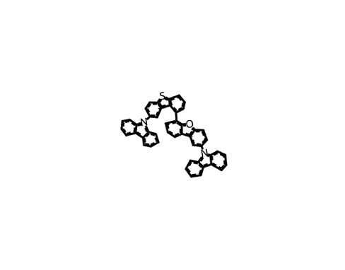 c1cc(-c2cccc3c2oc2ccc(-n4c5ccccc5c5ccccc54)cc23)c2c(c1)sc1ccc(-n3c4ccccc4c4ccccc43)cc12